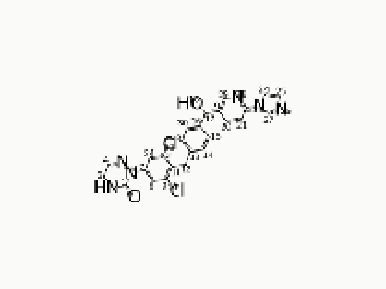 O=C1NCC=NN1c1cc(Cl)c(Cc2ccc(C(O)c3ccc(-n4ccnc4)nc3)cc2)c(Cl)c1